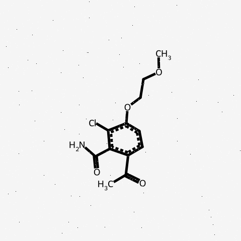 COCCOc1ccc(C(C)=O)c(C(N)=O)c1Cl